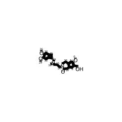 COc1cc2c(cc1CO)CC(=O)N(CCCN(C)C[C@H]1Cc3cc(OC)c(OC)cc31)CC2